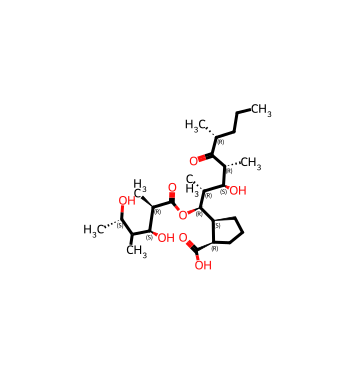 CCC[C@@H](C)C(=O)[C@H](C)[C@@H](O)[C@@H](C)[C@H](OC(=O)[C@H](C)[C@@H](O)C(C)[C@H](C)O)[C@H]1CCC[C@H]1C(=O)O